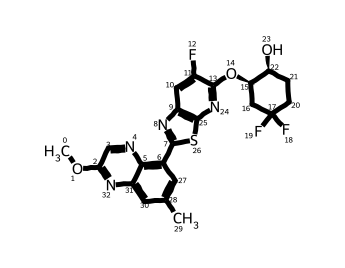 COc1cnc2c(-c3nc4cc(F)c(O[C@@H]5CC(F)(F)CC[C@@H]5O)nc4s3)cc(C)cc2n1